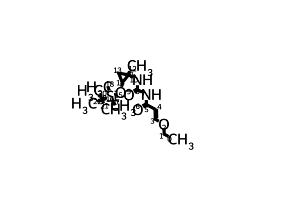 CCO/C=C/C(=O)NC(=O)NC1(C)CC1O[Si](C)(C)C(C)(C)C